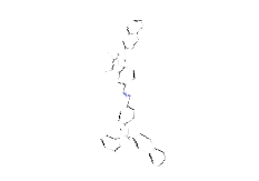 Cc1c(C)n(-c2ccc3ccccc3c2)c2ccc(/C=C/c3ccc(N(c4ccccc4)c4ccc5ccccc5c4)cc3)cc12